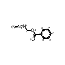 [N-]=[N+]=NCOC(=O)c1ccccc1